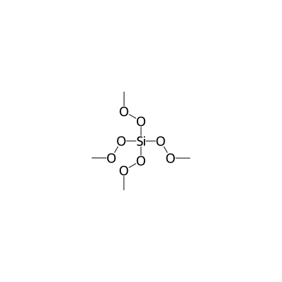 COO[Si](OOC)(OOC)OOC